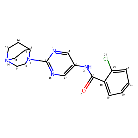 O=C(Nc1cnc(N2CCN3CCC2CC3)nc1)c1ccccc1Cl